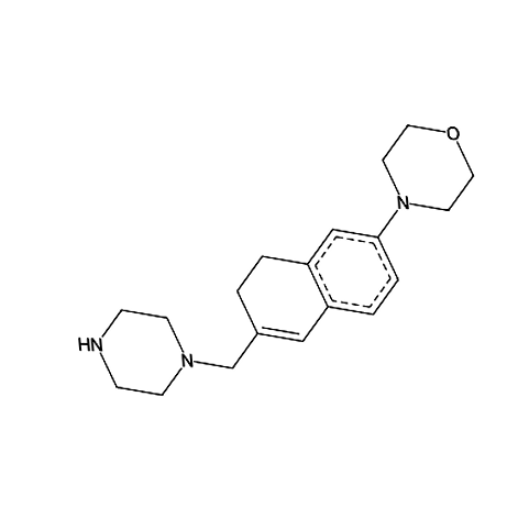 C1=C(CN2CCNCC2)CCc2cc(N3CCOCC3)ccc21